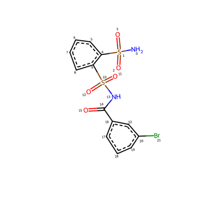 NS(=O)(=O)c1ccccc1S(=O)(=O)NC(=O)c1cccc(Br)c1